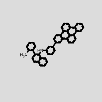 Cc1ccccc1-c1ccc2ccccc2c1Nc1cccc(-c2ccc3c(c2)c2cccc4c5ccccc5c5cccc3c5c42)c1